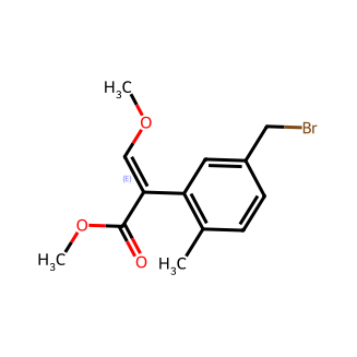 CO/C=C(/C(=O)OC)c1cc(CBr)ccc1C